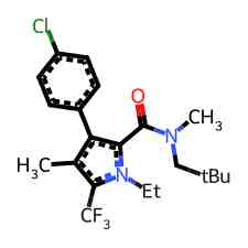 CCn1c(C(=O)N(C)CC(C)(C)C)c(-c2ccc(Cl)cc2)c(C)c1C(F)(F)F